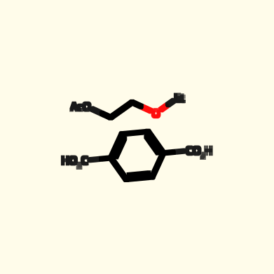 CCOCCOC(C)=O.O=C(O)c1ccc(C(=O)O)cc1